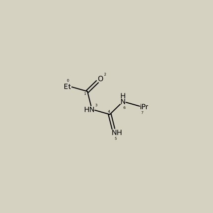 CCC(=O)NC(=N)NC(C)C